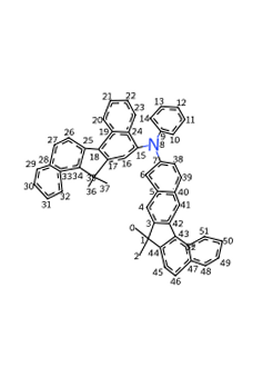 CC1(C)c2cc3cc(N(c4ccccc4)c4cc5c(c6ccccc46)-c4ccc6ccccc6c4C5(C)C)ccc3cc2-c2c1ccc1ccccc21